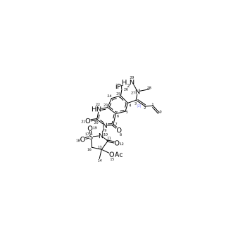 C=C/C=C(/c1cc2c(=O)n(N3C(=O)C(C)(OC(C)=O)CS3(=O)=O)c(=O)[nH]c2cc1C(C)C)N(C)N